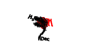 CCCCCCCCCCCCCCCCCCOC[C@H](COP(=O)(O)COS(=O)(=O)c1ccc(C)cc1)OCc1ccccc1